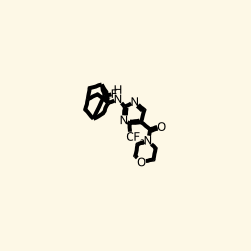 O=C(c1cnc(NC23CC4CC(C2)C(F)(F)C(C4)C3)nc1C(F)(F)F)N1CCOCC1